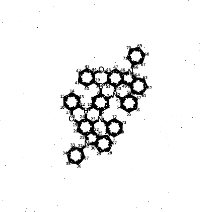 c1ccc(N2c3cc4c(cc3B3c5ccccc5Oc5cc6c(c2c53)c2ccccc2n6-c2ccccc2)B2c3ccccc3Oc3cc5c(c(c32)N4c2ccccc2)c2ccccc2n5-c2ccccc2)cc1